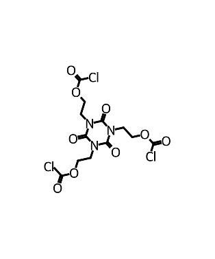 O=C(Cl)OCCn1c(=O)n(CCOC(=O)Cl)c(=O)n(CCOC(=O)Cl)c1=O